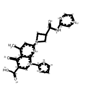 Cc1cc(N2CC(C(=O)Nc3cnccn3)C2)nc2c1c(=O)c(C(=O)O)cn2-c1nccs1